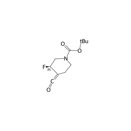 CC(C)(C)OC(=O)N1CCC(=C=O)[C@@H](F)C1